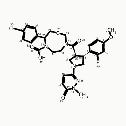 COc1ccc([C@@H]2CN(c3ccc(=O)n(C)n3)C[C@H]2C(=O)N2CCCC(c3ccc(Cl)cc3)N(C(=O)O)CC2)c(F)c1